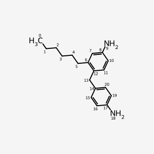 CCCCCCc1cc(N)ccc1Cc1ccc(N)cc1